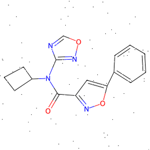 O=C(c1cc(-c2ccccc2)on1)N(c1ncon1)C1CCC1